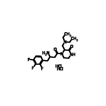 CCN(CC)CC1C(=O)NCCN1C(=O)CC(N)Cc1ccc(F)c(F)c1F.Cl.Cl